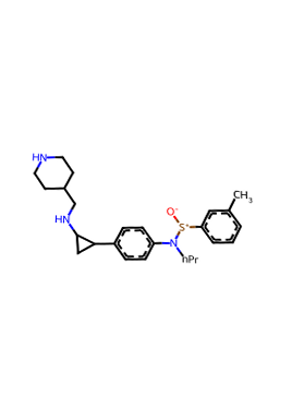 CCCN(c1ccc(C2CC2NCC2CCNCC2)cc1)[S+]([O-])c1cccc(C)c1